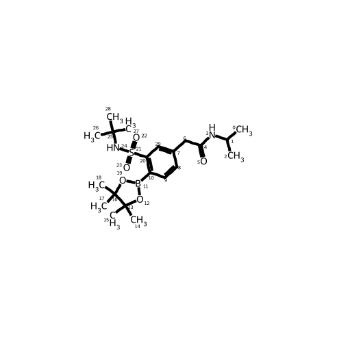 CC(C)NC(=O)Cc1ccc(B2OC(C)(C)C(C)(C)O2)c(S(=O)(=O)NC(C)(C)C)c1